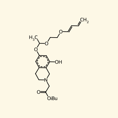 C=C/C=C/OCCOC(C)Oc1cc(O)c2c(c1)CCN(CC(=O)OCC(C)C)C2